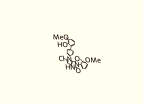 COc1cccc(-n2c(=O)[nH]c3cc(Cl)n(-c4ccc(-c5cccc(OC)c5O)cc4)c3c2=O)c1C